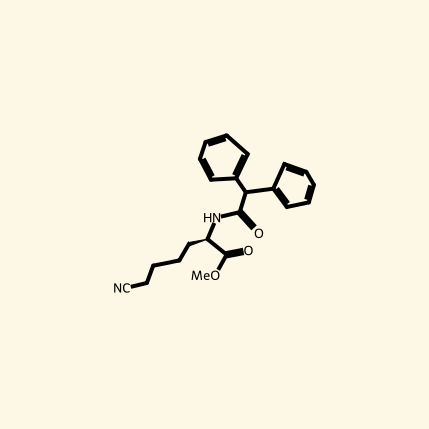 COC(=O)[C@@H](CCCCC#N)NC(=O)C(c1ccccc1)c1ccccc1